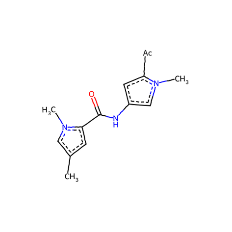 CC(=O)c1cc(NC(=O)c2cc(C)cn2C)cn1C